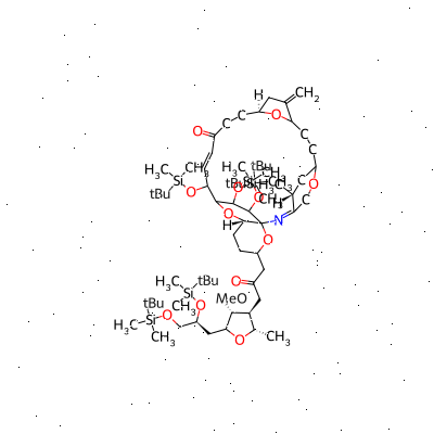 C=C1C[C@@H]2CCC(=O)/C=C/C(O[Si](C)(C)C(C)(C)C)C3O[C@H]4CCC(CC(=O)C[C@H]5[C@H](C)OC(C[C@@H](CO[Si](C)(C)C(C)(C)C)O[Si](C)(C)C(C)(C)C)[C@@H]5OC)OC4(/N=C4\COC(CCC1O2)C[C@H]4C)C(O[Si](C)(C)C(C)(C)C)C3O[Si](C)(C)C(C)(C)C